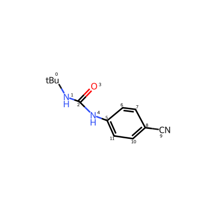 CC(C)(C)NC(=O)Nc1ccc(C#N)cc1